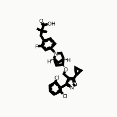 CC(C)(Cc1ccc(N2C[C@@H]3C[C@H]2C[C@H]3OCc2c(-c3c(Cl)cccc3Cl)noc2C2CC2)cc1F)C(=O)O